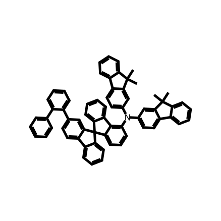 CC1(C)c2ccccc2-c2ccc(N(c3ccc4c(c3)C(C)(C)c3ccccc3-4)c3cccc4c3-c3ccccc3C43c4ccccc4-c4ccc(-c5ccccc5-c5ccccc5)cc43)cc21